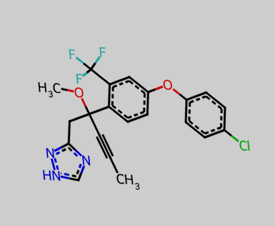 CC#CC(Cc1nc[nH]n1)(OC)c1ccc(Oc2ccc(Cl)cc2)cc1C(F)(F)F